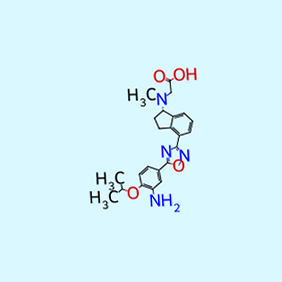 CC(C)Oc1ccc(-c2nc(-c3cccc4c3CC[C@@H]4N(C)CC(=O)O)no2)cc1N